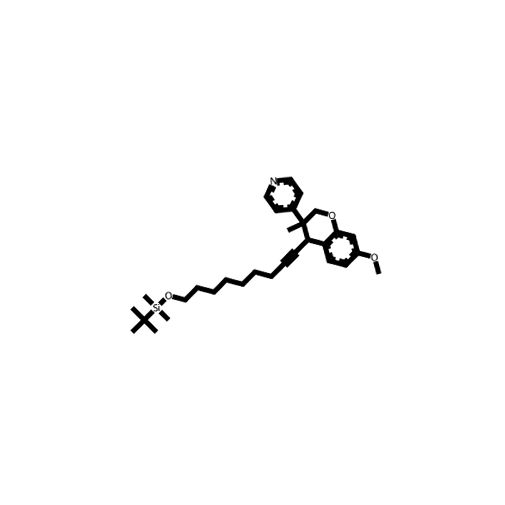 COc1ccc2c(c1)OCC(C)(c1ccncc1)C2C#CCCCCCCCO[Si](C)(C)C(C)(C)C